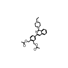 CCN1CCN(c2nc(-c3ccc(COC(C)=O)c(COC(C)=O)c3)cc3ccccc23)CC1